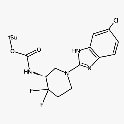 CC(C)(C)OC(=O)N[C@@H]1CN(c2nc3ccc(Cl)cc3[nH]2)CCC1(F)F